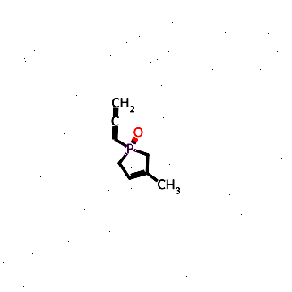 C=C=CP1(=O)CC=C(C)C1